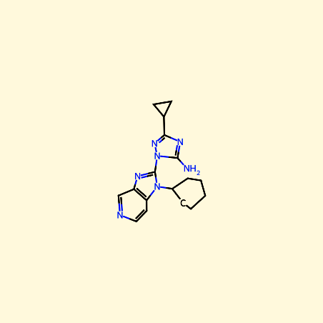 Nc1nc(C2CC2)nn1-c1nc2cnccc2n1C1CCCCC1